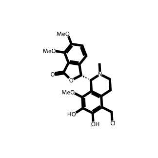 COc1ccc2c(c1OC)C(=O)OC2[C@H]1c2c(c(CCl)c(O)c(O)c2OC)CCN1C